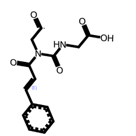 O=[C]CN(C(=O)/C=C/c1ccccc1)C(=O)NCC(=O)O